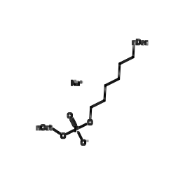 CCCCCCCCCCCCCCCCOP(=O)([O-])OCCCCCCCC.[Na+]